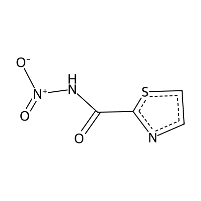 O=C(N[N+](=O)[O-])c1nccs1